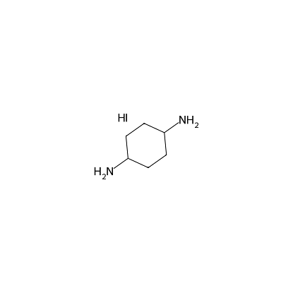 I.NC1CCC(N)CC1